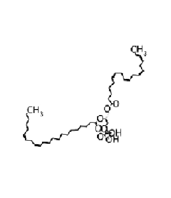 CC/C=C\C/C=C\C/C=C\C/C=C\CCCCC(=O)OC[C@H](COP(=O)(O)O)OC(=O)CCCCCCCCCCC/C=C\C/C=C\CCCCC